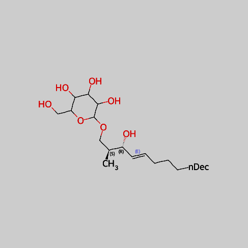 CCCCCCCCCCCCC/C=C/[C@@H](O)[C@@H](C)COC1OC(CO)C(O)C(O)C1O